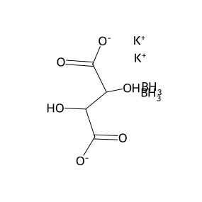 B.B.O=C([O-])C(O)C(O)C(=O)[O-].[K+].[K+]